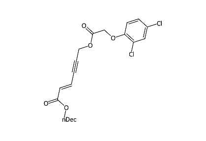 CCCCCCCCCCOC(=O)C=CC#CCOC(=O)COc1ccc(Cl)cc1Cl